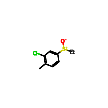 CC[S+]([O-])c1ccc(C)c(Cl)c1